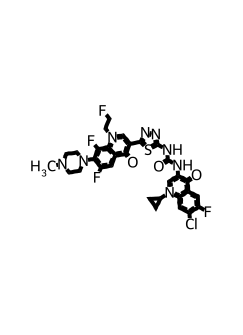 CN1CCN(c2c(F)cc3c(=O)c(-c4nnc(NC(=O)Nc5cn(C6CC6)c6cc(Cl)c(F)cc6c5=O)s4)cn(CCF)c3c2F)CC1